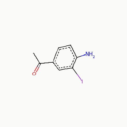 CC(=O)c1ccc(N)c(I)c1